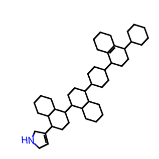 C1=C(C2CCC(C3CCC(C4CCC(C5CCC(C6CCCCC6)C6=C5CCCC6)CC4)C4CCCCC43)C3CCCCC23)CNC1